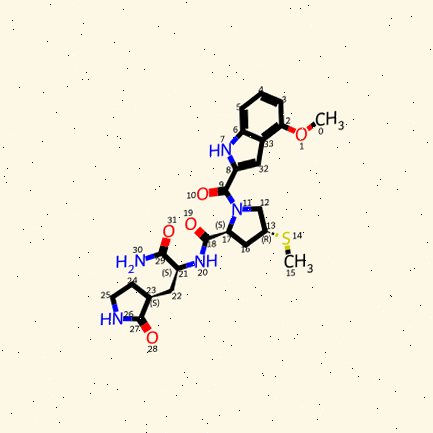 COc1cccc2[nH]c(C(=O)N3C[C@H](SC)C[C@H]3C(=O)N[C@@H](C[C@@H]3CCNC3=O)C(N)=O)cc12